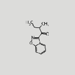 CCC(C)C(=O)c1noc2ccccc12